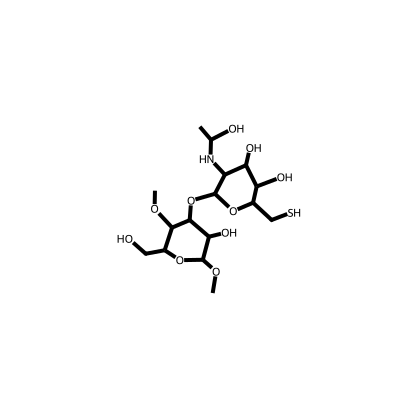 COC1OC(CO)C(OC)C(OC2OC(CS)C(O)C(O)C2NC(C)O)C1O